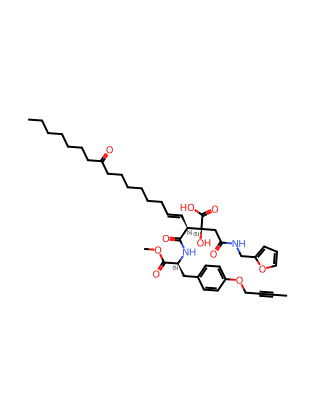 CC#CCOc1ccc(C[C@H](NC(=O)[C@@H](C=CCCCCCCC(=O)CCCCCCC)[C@@](O)(CC(=O)NCc2ccco2)C(=O)O)C(=O)OC)cc1